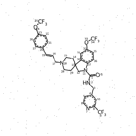 O=C(NCc1ccnc(C(F)(F)F)c1)N1CC2(CCN(C/C=C/c3ccc(OC(F)(F)F)cc3)CC2)c2cc(OC(F)(F)F)ccc21